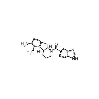 Cc1c(N)ccc2c1[C@@H]1CCCN(C(=O)c3ccc4[nH]cnc4c3)[C@@H]1C2